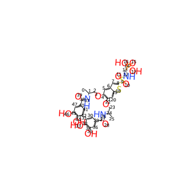 CC(COc1cc2cc(S(=O)(=O)NCP(=O)(O)O)sc2cc1OCC(C)NC(=O)c1ccc(O)c(O)c1)NC(=O)c1ccc(O)c(O)c1